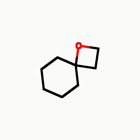 C1CCC2(CC1)CCO2